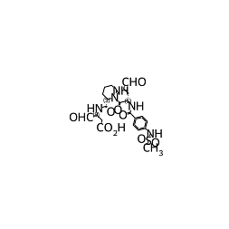 CS(=O)(=O)Nc1ccc(C(=O)N[C@@H](CCC=O)C(=O)N2NCCC[C@H]2C(=O)N[C@H](C=O)CC(=O)O)cc1